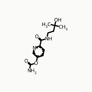 CC(C)(O)CCNC(=O)c1ccc(OC(N)=O)cn1